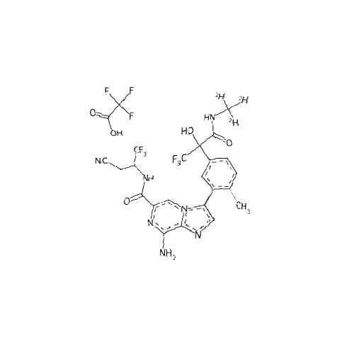 O=C(O)C(F)(F)F.[2H]C([2H])([2H])NC(=O)C(O)(c1ccc(C)c(-c2cnc3c(N)nc(C(=O)NC(CC#N)C(F)(F)F)cn23)c1)C(F)(F)F